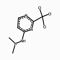 CN(C)Nc1ccnc(C(Cl)(Cl)Cl)n1